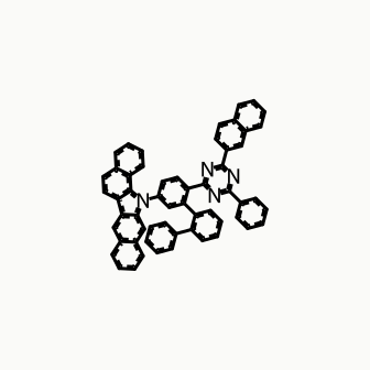 c1ccc(-c2nc(-c3ccc4ccccc4c3)nc(-c3ccc(-n4c5cc6ccccc6cc5c5ccc6ccccc6c54)cc3-c3ccccc3-c3ccccc3)n2)cc1